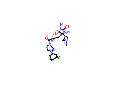 C[C@H](C[C@]1(C2CN(C)C2)NC(=O)NC1=O)C(=O)N1CCN(c2cccc(F)c2)[C@@H](C)C1